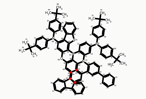 CC(C)(C)c1ccc(N(c2ccc(C(C)(C)C)cc2)c2ccc3c(c2)N(c2ccc(-c4ccccc4)cc2-c2ccccc2)c2cc(-n4c5ccccc5c5ccccc54)cc4c2B3c2c(cc(N(c3ccc(C(C)(C)C)cc3)c3ccc(C(C)(C)C)cc3)c3c2sc2ccccc23)O4)cc1